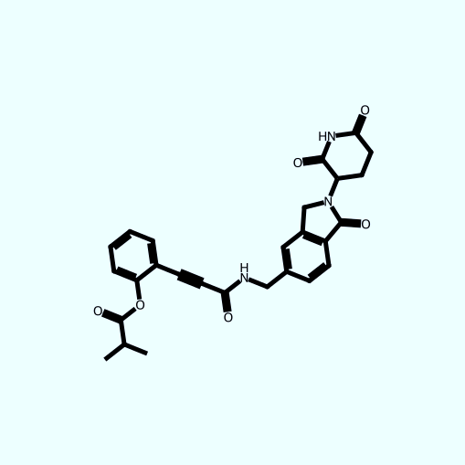 CC(C)C(=O)Oc1ccccc1C#CC(=O)NCc1ccc2c(c1)CN(C1CCC(=O)NC1=O)C2=O